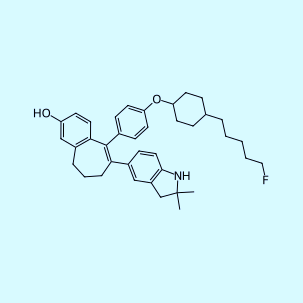 CC1(C)Cc2cc(C3=C(c4ccc(OC5CCC(CCCCCF)CC5)cc4)c4ccc(O)cc4CCC3)ccc2N1